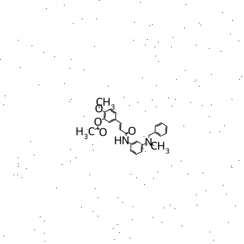 COc1ccc(/C=C/C(=O)Nc2cccc(N(C)Cc3ccccc3)c2)cc1OC(C)=O